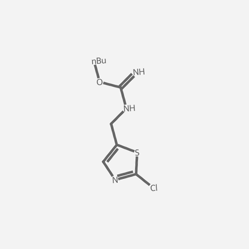 CCCCOC(=N)NCc1cnc(Cl)s1